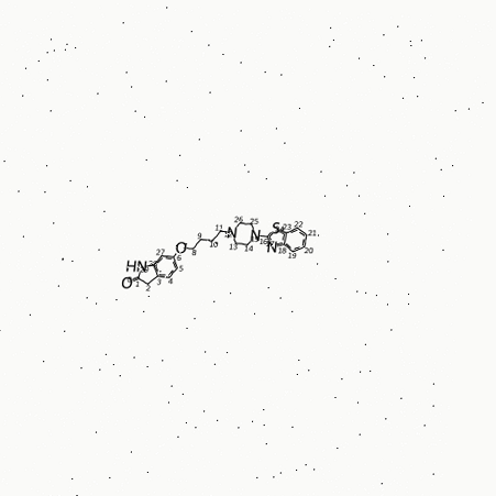 O=C1Cc2ccc(OCCCCN3CCN(c4nc5ccccc5s4)CC3)cc2N1